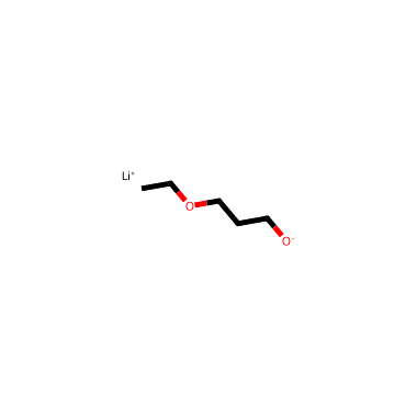 CCOCCC[O-].[Li+]